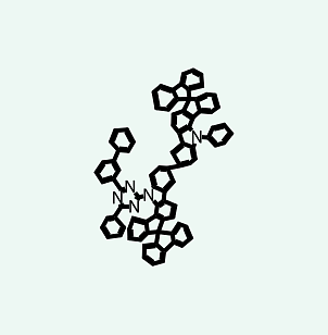 c1ccc(-c2cccc(-c3nc(-c4ccccc4)nc(-n4c5ccc(-c6ccc7c(c6)c6ccc8c(c6n7-c6ccccc6)-c6ccccc6C86c7ccccc7-c7ccccc76)cc5c5ccc6c(c54)-c4ccccc4C64c5ccccc5-c5ccccc54)n3)c2)cc1